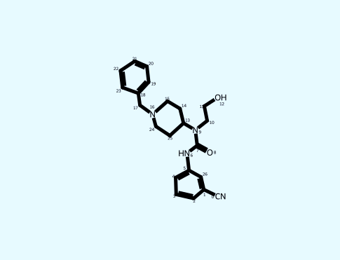 N#Cc1cccc(NC(=O)N(CCO)C2CCN(Cc3ccccc3)CC2)c1